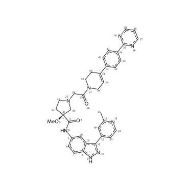 CO[C@@]1(C(=O)Nc2ccc3[nH]nc(-c4ccnc(C)c4)c3c2)CCN(CC(=O)N2CC=C(c3ccc(-c4ncccn4)cc3)CC2)C1